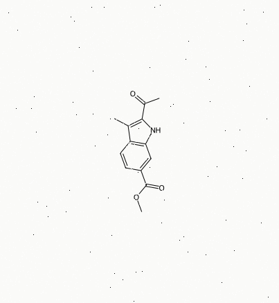 COC(=O)c1ccc2c(C)c(C(C)=O)[nH]c2c1